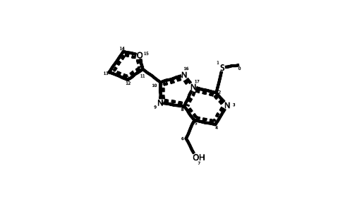 CSc1ncc(CO)c2nc(-c3ccco3)nn12